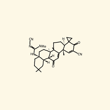 CN/C(=N\C#N)N[C@]12CCC(C)(C)C[C@H]1[C@H]1C(=O)C=C3[C@@]4(C)C=C(C#N)C(=O)C5(CC5)[C@@H]4CC[C@@]3(C)[C@]1(C)CC2